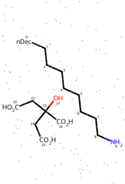 CCCCCCCCCCCCCCCCCCN.O=C(O)CC(O)(CC(=O)O)C(=O)O